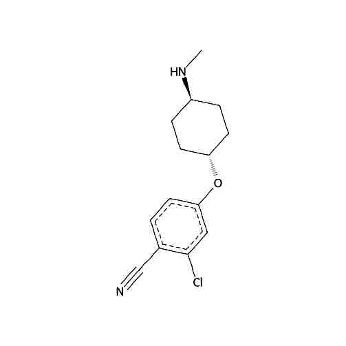 CN[C@H]1CC[C@H](Oc2ccc(C#N)c(Cl)c2)CC1